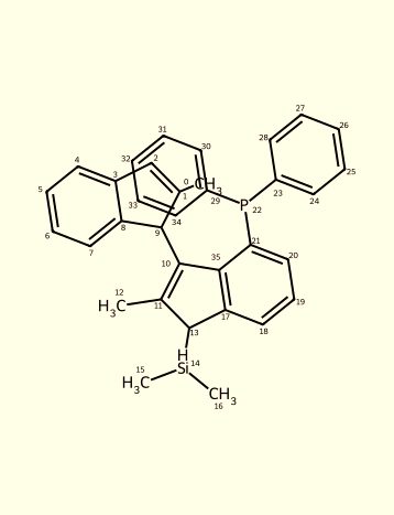 CC1=Cc2ccccc2C1C1=C(C)C([SiH](C)C)c2cccc(P(c3ccccc3)c3ccccc3)c21